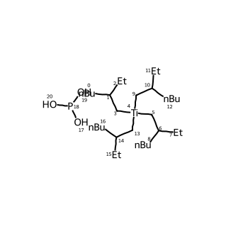 CCCCC(CC)[CH2][Ti]([CH2]C(CC)CCCC)([CH2]C(CC)CCCC)[CH2]C(CC)CCCC.OP(O)O